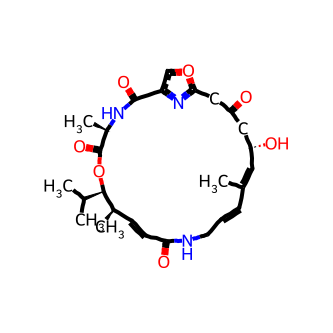 CC1=C\[C@@H](O)CC(=O)Cc2nc(co2)C(=O)N[C@H](C)C(=O)O[C@H](C(C)C)[C@H](C)/C=C/C(=O)NC\C=C\1